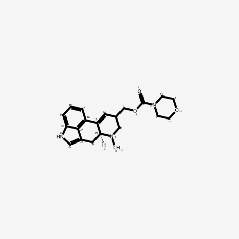 CN1CC(COC(=O)N2CCOCC2)C=C2c3cccc4[nH]cc(c34)C[C@@H]21